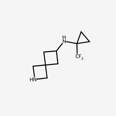 FC(F)(F)C1(NC2CC3(CNC3)C2)CC1